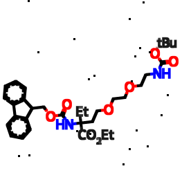 CCOC(=O)C(CC)(CCOCCOCCNC(=O)OC(C)(C)C)NC(=O)OCC1c2ccccc2-c2ccccc21